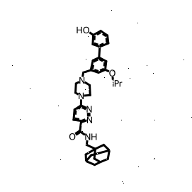 CC(C)Oc1cc(CN2CCN(c3ccc(C(=O)NCC45CC6CC(CC(C6)C4)C5)nn3)CC2)cc(-c2cccc(O)c2)c1